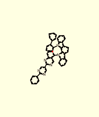 c1ccc(-c2ncc(-c3ncc4c(-n5c6ccccc6c6ccc7c8ccccc8n(-c8ccccc8-c8ccccc8)c7c65)nccc4n3)cn2)cc1